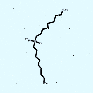 CCCCCCCCCCCCCCCCCC[N+](CCCCCCCCCCCCCCCCCC)(C(C)C)C(C)C.[Cl-]